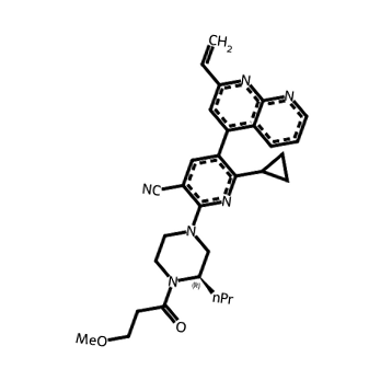 C=Cc1cc(-c2cc(C#N)c(N3CCN(C(=O)CCOC)[C@H](CCC)C3)nc2C2CC2)c2cccnc2n1